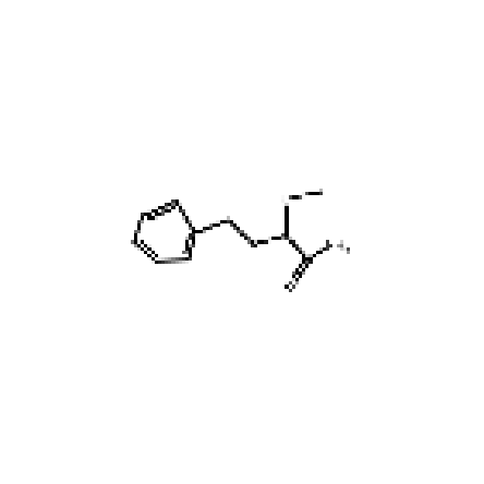 COC(CCc1ccccc1)C(N)=O